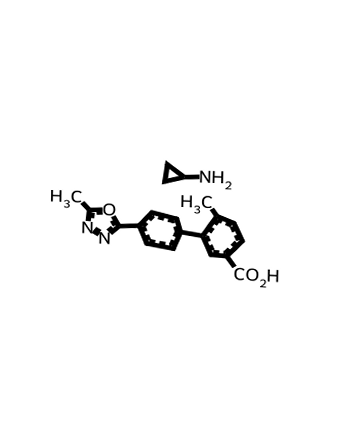 Cc1nnc(-c2ccc(-c3cc(C(=O)O)ccc3C)cc2)o1.NC1CC1